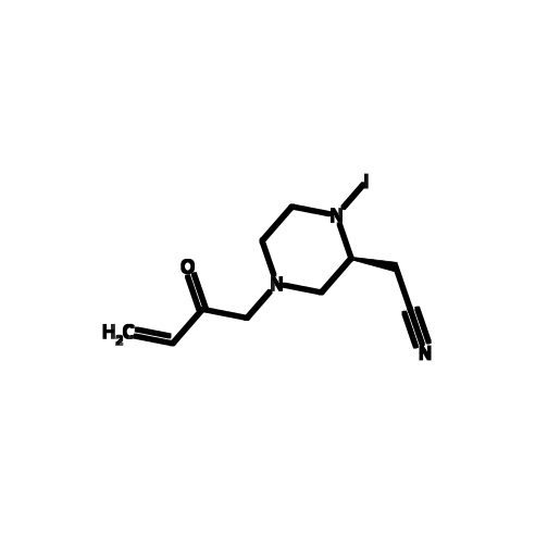 C=CC(=O)CN1CCN(I)[C@@H](CC#N)C1